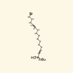 CCCC[C@@H](O)C#CCCCCCCCC#CCCCBr